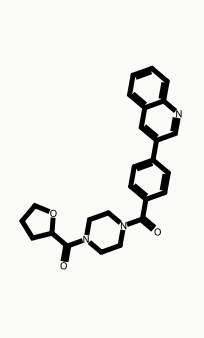 O=C(c1ccc(-c2cnc3ccccc3c2)cc1)N1CCN(C(=O)C2CCCO2)CC1